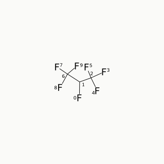 FC(C(F)(F)F)C(F)(F)F